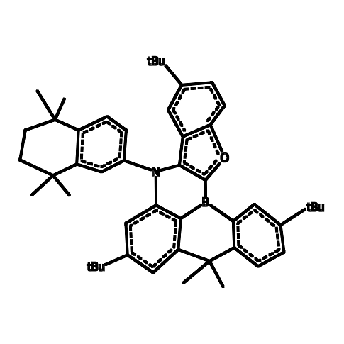 CC(C)(C)c1ccc2c(c1)B1c3oc4ccc(C(C)(C)C)cc4c3N(c3ccc4c(c3)C(C)(C)CCC4(C)C)c3cc(C(C)(C)C)cc(c31)C2(C)C